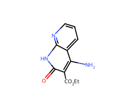 CCOC(=O)c1c(N)c2cccnc2[nH]c1=O